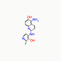 Nc1c(O)ccc2nc(Nc3ccnc(F)c3O)ccc12